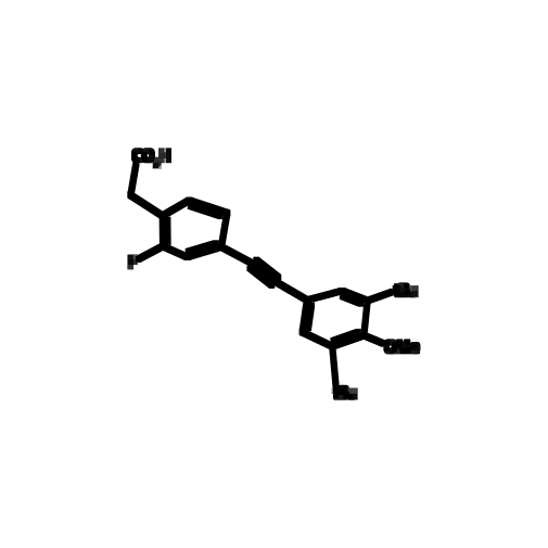 COc1c(C(C)(C)C)cc(C#Cc2ccc(CC(=O)O)c(F)c2)cc1C(C)(C)C